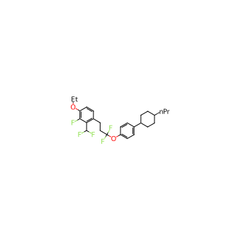 CCCC1CCC(c2ccc(OC(F)(F)CCc3ccc(OCC)c(F)c3C(F)F)cc2)CC1